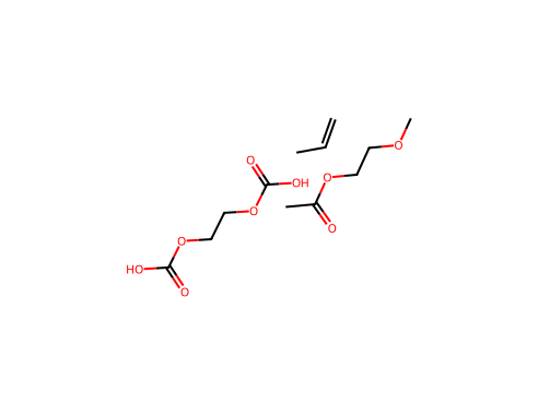 C=CC.COCCOC(C)=O.O=C(O)OCCOC(=O)O